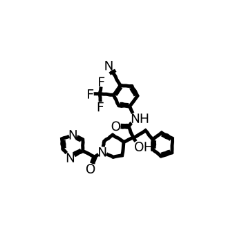 N#Cc1ccc(NC(=O)C(O)(Cc2ccccc2)C2CCN(C(=O)c3cnccn3)CC2)cc1C(F)(F)F